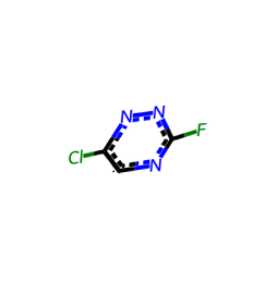 Fc1n[c]c(Cl)nn1